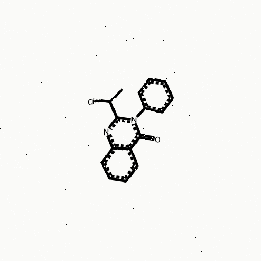 CC(Cl)c1nc2ccccc2c(=O)n1-c1ccccc1